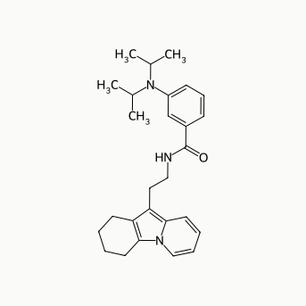 CC(C)N(c1cccc(C(=O)NCCc2c3c(n4ccccc24)CCCC3)c1)C(C)C